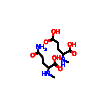 CNC(CCC(=O)O)C(=O)O.CNC(CCC(N)=O)C(=O)O